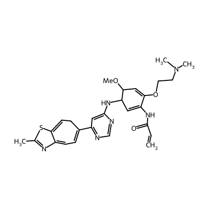 C=CC(=O)NC1=CC(Nc2cc(C3=CC=c4nc(C)sc4=CC3)ncn2)C(OC)C=C1OCCN(C)C